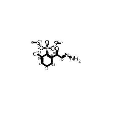 CSOP(=O)(OSC)C1=C(C(=O)C=NN)[CH]CC=C1Cl